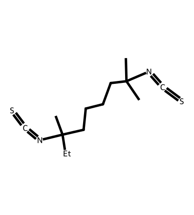 CCC(C)(CCCCC(C)(C)N=C=S)N=C=S